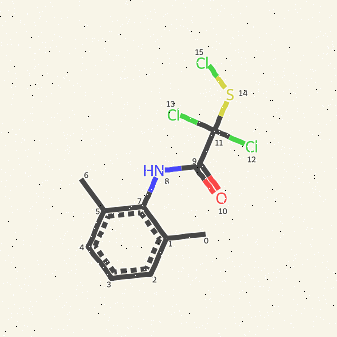 Cc1cccc(C)c1NC(=O)C(Cl)(Cl)SCl